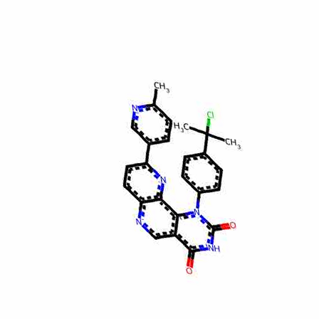 Cc1ccc(-c2ccc3ncc4c(=O)[nH]c(=O)n(-c5ccc(C(C)(C)Cl)cc5)c4c3n2)cn1